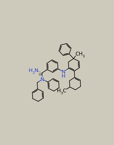 CC1CCC=C(C2=C(Nc3cccc([C@@H](N)N(CC4=CCCC=C4)C4=CCCC=C4)c3)CC(C)(c3ccccc3)C=C2)C1